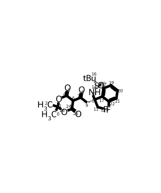 CC1(C)OC(=O)C(C(=O)C[C@](CF)(N[S+]([O-])C(C)(C)C)c2ccccc2F)C(=O)O1